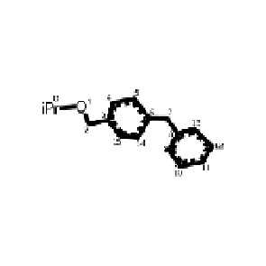 CC(C)OCc1ccc(Cc2c[c]ccc2)cc1